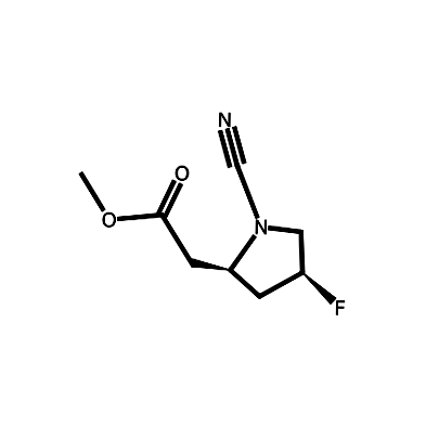 COC(=O)C[C@@H]1C[C@H](F)CN1C#N